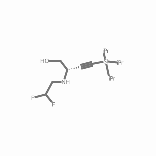 CC(C)[Si](C#C[C@@H](CO)NCC(F)F)(C(C)C)C(C)C